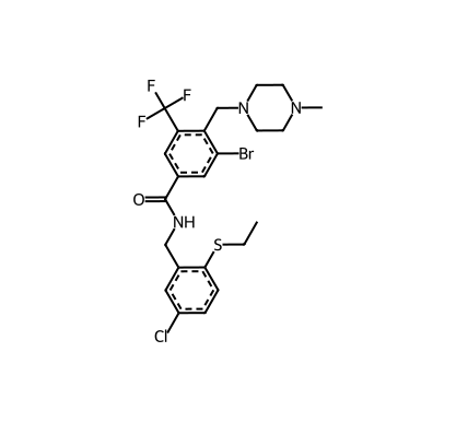 CCSc1ccc(Cl)cc1CNC(=O)c1cc(Br)c(CN2CCN(C)CC2)c(C(F)(F)F)c1